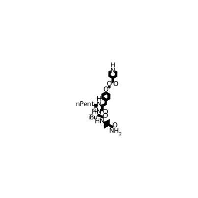 CCCCCC(=O)NC(Cc1ccc(OCOC(=O)C2CCNCC2)cc1)C(=O)NC(C(=O)NC12CC1(C(N)=O)C2)C(C)CC